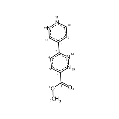 COC(=O)c1ccc(-c2ccnnc2)nn1